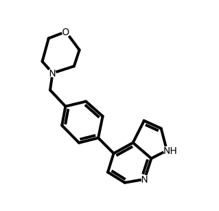 c1cc(-c2ccc(CN3CCOCC3)cc2)c2cc[nH]c2n1